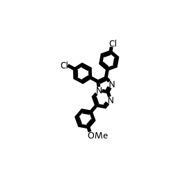 COc1cccc(-c2cnc3nc(-c4ccc(Cl)cc4)c(-c4ccc(Cl)cc4)n3c2)c1